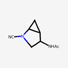 CC(=O)NC1CN(C#N)C2CC12